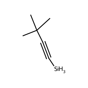 CC(C)(C)C#C[SiH3]